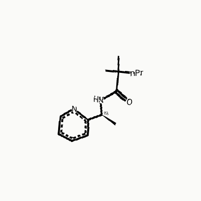 CCCC(C)(C)C(=O)N[C@@H](C)c1ccccn1